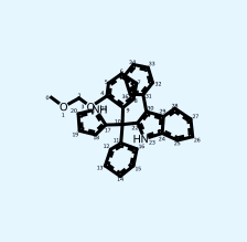 COCOc1ccccc1C(c1ccccc1)(c1ccc[nH]1)c1[nH]c2ccccc2c1-c1ccccc1